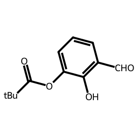 CC(C)(C)C(=O)Oc1cccc(C=O)c1O